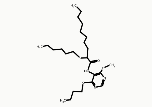 CCCCCCCCC(SCCCCCC)C(=O)Nc1c(OC)ncnc1SCCCC